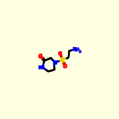 NCCS(=O)(=O)N1CCNC(=O)C1